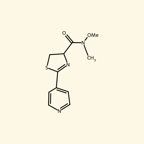 CON(C)C(=O)C1CSC(c2ccncc2)=N1